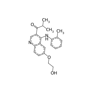 Cc1ccccc1Nc1c(C(=O)C(C)C)cnc2ccc(OCCO)cc12